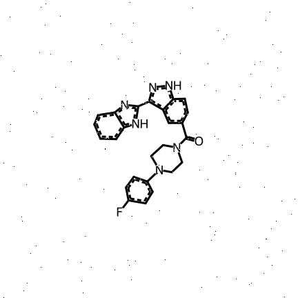 O=C(c1ccc2[nH]nc(-c3nc4ccccc4[nH]3)c2c1)N1CCN(c2ccc(F)cc2)CC1